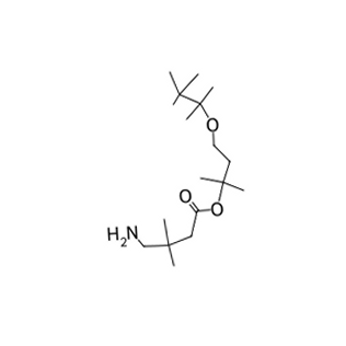 CC(C)(CN)CC(=O)OC(C)(C)CCOC(C)(C)C(C)(C)C